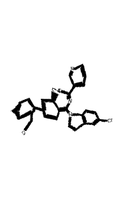 O=Cc1ccccc1-c1ccc2c(N3CCc4cc(Cl)ccc43)nc(-c3cccnc3)nc2c1